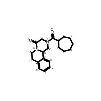 O=C(C1CCCCCC1)N1CC(=O)N2CCc3ccccc3C2C1